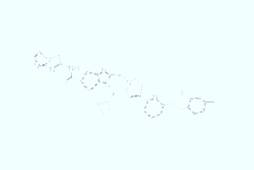 O=C(NC1=Nc2nccn2C1)c1ccc2c(c1)nc(CN1CC=C(c3cccc(OCc4ccc(Cl)cc4F)n3)CC1)n2C[C@@H]1CCO1